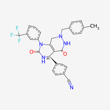 Cc1ccc(CN2CC3=C(C(=O)N2)[C@@H](c2ccc(C#N)cc2)NC(=O)N3c2cccc(C(F)(F)F)c2)cc1